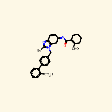 CCCCc1nc2c(n1Cc1ccc(-c3ccccc3C(=O)O)cc1)CC(=NC(=O)C1=C(C=O)CCCC1)C=C2